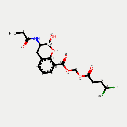 CCC(=O)NC1Cc2cccc(C(=O)OCOC(=O)CCC(F)F)c2OB1O